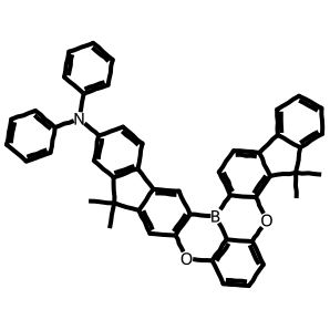 CC1(C)c2cc(N(c3ccccc3)c3ccccc3)ccc2-c2cc3c(cc21)Oc1cccc2c1B3c1ccc3c(c1O2)C(C)(C)c1ccccc1-3